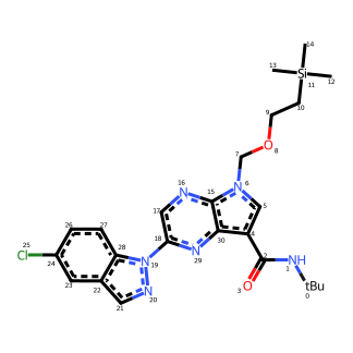 CC(C)(C)NC(=O)c1cn(COCC[Si](C)(C)C)c2ncc(-n3ncc4cc(Cl)ccc43)nc12